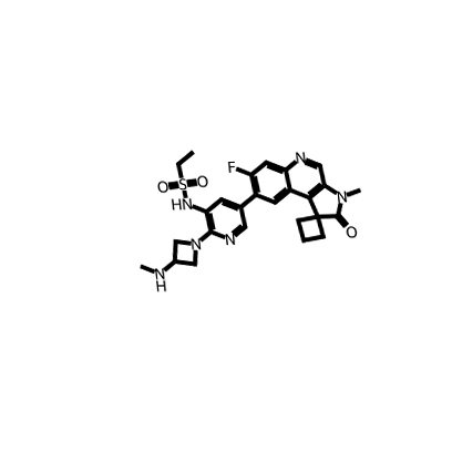 CCS(=O)(=O)Nc1cc(-c2cc3c4c(cnc3cc2F)N(C)C(=O)C42CCC2)cnc1N1CC(NC)C1